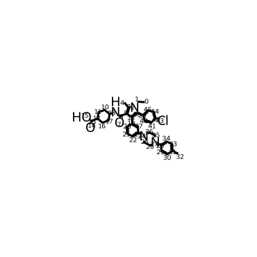 CCn1c(C)c(C(=O)NC2CCC(C(=O)O)CC2)c(-c2cccc(N3CCN(c4ccc(C)cc4)CC3)c2)c1-c1ccc(Cl)cc1